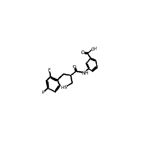 O=C(O)c1cccc(NC(=O)C(CS)Cc2ccc(F)cc2F)c1